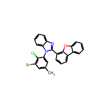 Cc1cc(Br)c(Cl)c(-n2c(-c3cccc4c3oc3ccccc34)nc3ccccc32)c1